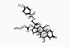 CCCCCOC(=O)O[C@]1(C(=O)COS(=O)(=O)c2ccc(C)cc2)CC[C@H]2[C@@H]3C[C@H](F)C4=CC(=O)C=C[C@]4(C)[C@H]3C(O)C[C@@]21C